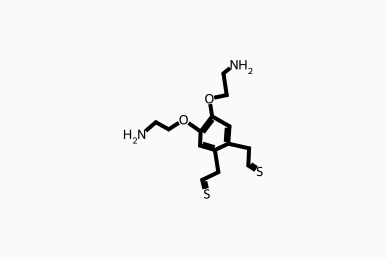 NCCOc1cc(CC=S)c(CC=S)cc1OCCN